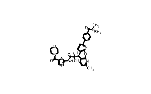 Cc1ccc2c(n1)Oc1nc(-c3ccc(C(=O)N(C)C)cc3)ccc1[C@@H]2C(C)(C)C(=O)Nc1ncc(C(=O)N2CCOCC2)s1